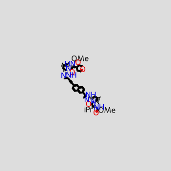 COC(=O)N[C@H](C(=O)N1[C@H](C)[C@H](C)C[C@H]1c1ncc(-c2ccc3cc(C#Cc4cnc([C@@H]5C[C@@H](C)[C@@H](C)N5C(=O)[C@@H](NC(=O)OC)C5CCOCC5)[nH]4)ccc3c2)[nH]1)C(C)C